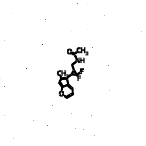 CC(=O)NCC1C(c2c(C)cc3occcc2-3)C1(F)F